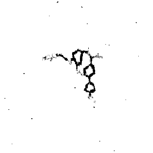 CCCC[C@H](Sc1ccc(OCC(=O)O)c(C)c1)c1ccc(-c2ccc(C(F)(F)F)cc2)cc1